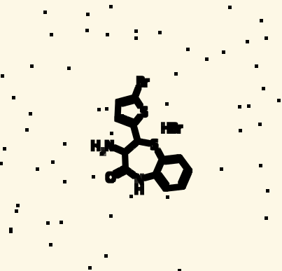 Br.NC1C(=O)Nc2ccccc2SC1c1ccc(Br)s1